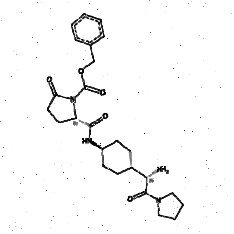 N[C@H](C(=O)N1CCCC1)[C@H]1CC[C@H](NC(=O)[C@@H]2CCC(=O)N2C(=O)OCc2ccccc2)CC1